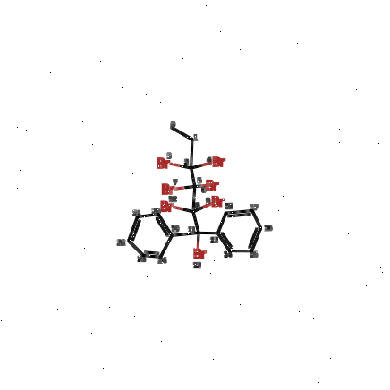 CCC(Br)(Br)C(Br)(Br)C(Br)(Br)C(Br)(c1ccccc1)c1ccccc1